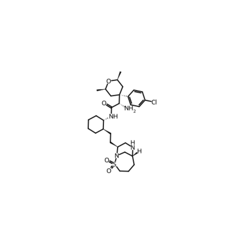 C[C@@H]1C[C@](c2ccc(Cl)cc2)([C@H](N)C(=O)N[C@H]2CCCC[C@@H]2CC[C@H]2CN[C@@H]3CCCS(=O)(=O)N2C3)C[C@H](C)O1